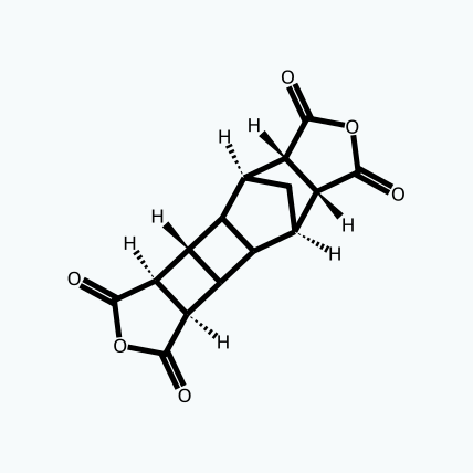 O=C1OC(=O)[C@H]2[C@@H]1[C@H]1C[C@@H]2C2C3[C@@H](C21)[C@@H]1C(=O)OC(=O)[C@H]31